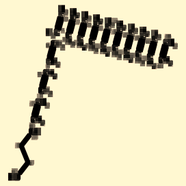 C=C.C=C.C=C.C=C.C=C.C=C.C=C.C=C.C=C.C=C.C=C.C=C.C=C.OCCO